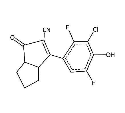 N#CC1=C(c2cc(F)c(O)c(Cl)c2F)C2CCCC2C1=O